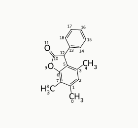 Cc1cc(C)c2c(c1C)OC(=O)C2c1ccccc1